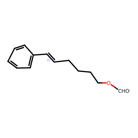 O=[C]OCCCC/C=C/c1ccccc1